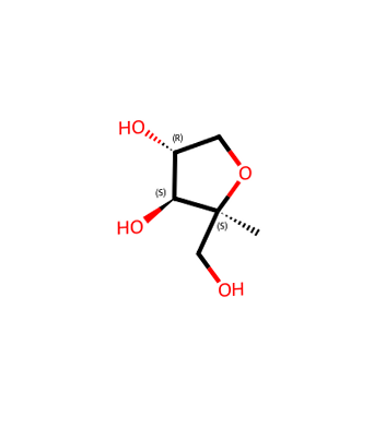 C[C@@]1(CO)OC[C@@H](O)[C@@H]1O